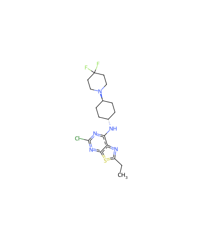 CCc1nc2c(N[C@H]3CC[C@H](N4CCC(F)(F)CC4)CC3)nc(Cl)nc2s1